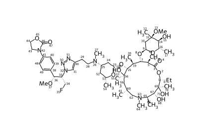 CC[C@H]1OC(=O)[C@H](C)[C@@H](O[C@H]2C[C@@](C)(OC)[C@@H](O)[C@H](C)O2)[C@H](C)[C@@H](O[C@H]2C[C@@H](N(C)CCc3cn([C@H](CF)[C@H](OC)c4ccc(N5CCOC5=O)cc4)nn3)C[C@@H](C)O2)[C@](C)(O)C[C@@H](C)CN(C)[C@H](C)[C@@H](O)[C@]1(C)O